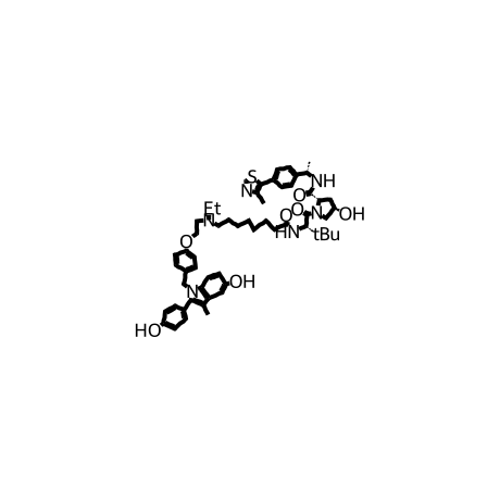 CCN(CCCCCCCC(=O)N[C@H](C(=O)N1C[C@H](O)C[C@H]1C(=O)N[C@@H](C)c1ccc(-c2scnc2C)cc1)C(C)(C)C)CCOc1ccc(Cn2c(-c3ccc(O)cc3)c(C)c3cc(O)ccc32)cc1